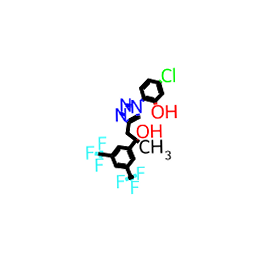 CC(O)(Cc1cn(-c2ccc(Cl)cc2O)nn1)c1cc(C(F)(F)F)cc(C(F)(F)F)c1